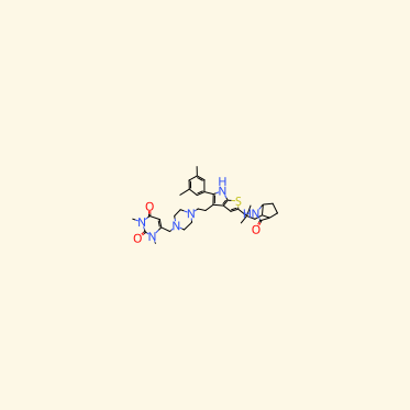 Cc1cc(C)cc(-c2[nH]c3sc(C(C)(C)CC4C5CCC4C(=O)N5)cc3c2CCN2CCN(Cc3cc(=O)n(C)c(=O)n3C)CC2)c1